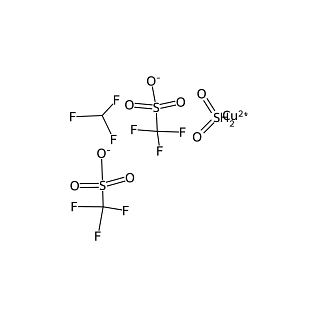 FC(F)F.O=S(=O)([O-])C(F)(F)F.O=S(=O)([O-])C(F)(F)F.O=[SH2]=O.[Cu+2]